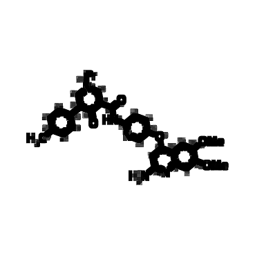 COc1cc2nc(N)cc(Oc3ccc(NC(=O)c4cn(C(C)C)cc(-c5ccc(C)cc5)c4=O)nc3)c2cc1OC